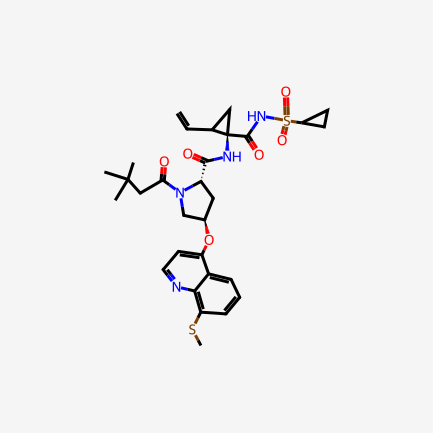 C=CC1C[C@]1(NC(=O)[C@@H]1C[C@@H](Oc2ccnc3c(SC)cccc23)CN1C(=O)CC(C)(C)C)C(=O)NS(=O)(=O)C1CC1